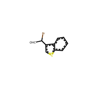 O=CC(Br)c1csc2ccccc12